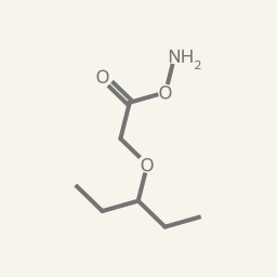 CCC(CC)OCC(=O)ON